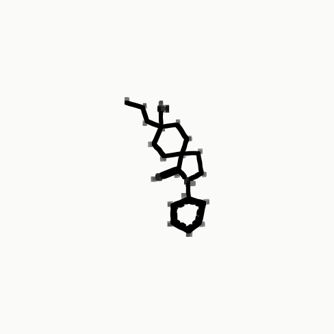 CCCC1(O)CCC2(CCN(c3cc[c]cc3)C2=O)CC1